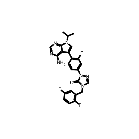 CC(C)n1cc(-c2ccc(-n3ncn(Cc4cc(F)ccc4F)c3=O)cc2F)c2c(N)ncnc21